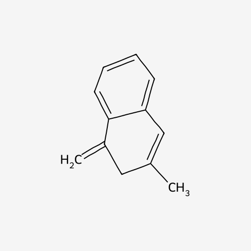 C=C1CC(C)=Cc2ccccc21